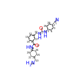 N#Cc1ccc(NC(=O)NCc2cccc(C(=O)NC3CCC(CN)CC3)c2)cc1